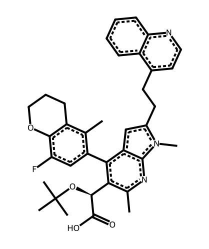 Cc1nc2c(cc(CCc3ccnc4ccccc34)n2C)c(-c2cc(F)c3c(c2C)CCCO3)c1[C@H](OC(C)(C)C)C(=O)O